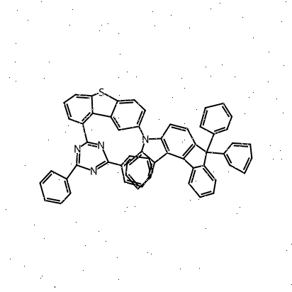 c1ccc(-c2nc(-c3ccccc3)nc(-c3cccc4sc5ccc(-n6c7ccccc7c7c8c(ccc76)C(c6ccccc6)(c6ccccc6)c6ccccc6-8)cc5c34)n2)cc1